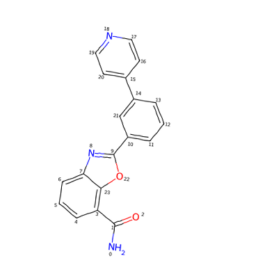 NC(=O)c1cccc2nc(-c3cccc(-c4ccncc4)c3)oc12